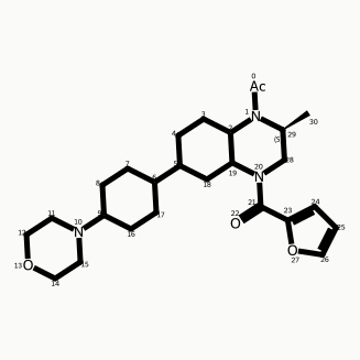 CC(=O)N1C2CCC(C3CCC(N4CCOCC4)CC3)CC2N(C(=O)c2ccco2)C[C@@H]1C